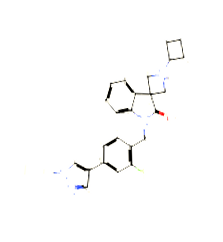 Cn1cc(-c2ccc(CN3C(=O)C4(CN(C5CCC5)C4)c4ccccc43)c(F)c2)cn1